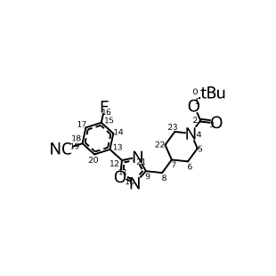 CC(C)(C)OC(=O)N1CCC(Cc2noc(-c3cc(F)cc(C#N)c3)n2)CC1